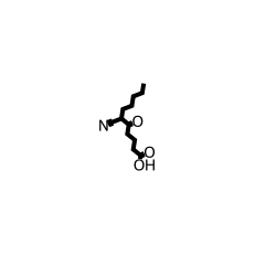 CCCCCC(C#N)C(=O)CCCC(=O)O